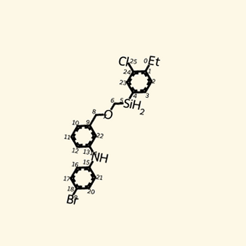 CCc1ccc([SiH2]COCc2cccc(Nc3ccc(Br)cc3)c2)cc1Cl